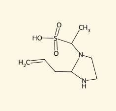 C=CCC1NCCN1C(C)S(=O)(=O)O